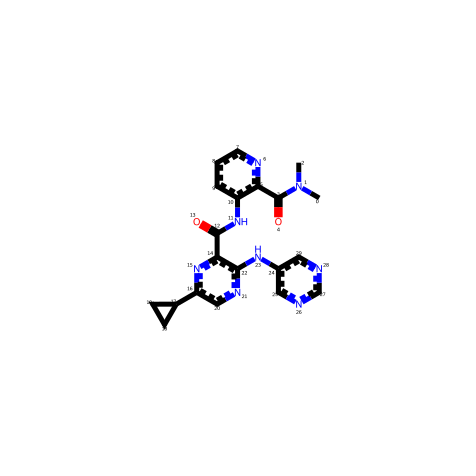 CN(C)C(=O)c1ncccc1NC(=O)c1nc(C2CC2)cnc1Nc1cncnc1